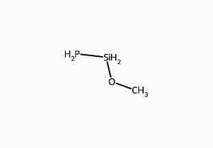 CO[SiH2]P